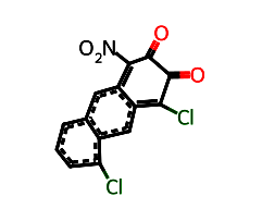 O=C1C(=O)C([N+](=O)[O-])=c2cc3cccc(Cl)c3cc2=C1Cl